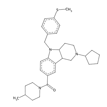 CSc1ccc(CN2c3ccc(C(=O)N4CCC(C)CC4)cc3C3CN(C4CCCC4)CCC32)cc1